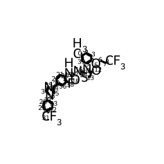 Cc1ccc(OCCC(F)(F)F)c(N2C(=O)CSC2=NC(=O)Nc2ccc(-c3cn(-c4ccc(C(F)(F)F)cc4)cn3)cc2F)c1